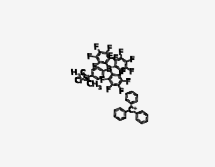 C[Si](C)(Cl)c1ccc([B-](c2c(F)c(F)c(F)c(F)c2F)(c2c(F)c(F)c(F)c(F)c2F)c2c(F)c(F)c(F)c(F)c2F)cc1.c1ccc([C+](c2ccccc2)c2ccccc2)cc1